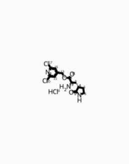 Cl.N[C@@H](C[C@@H]1CCNC1=O)C(=O)OCc1cc(Cl)nc(Cl)c1